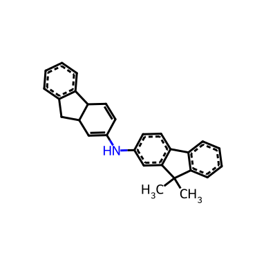 CC1(C)c2ccccc2-c2ccc(NC3=CC4Cc5ccccc5C4C=C3)cc21